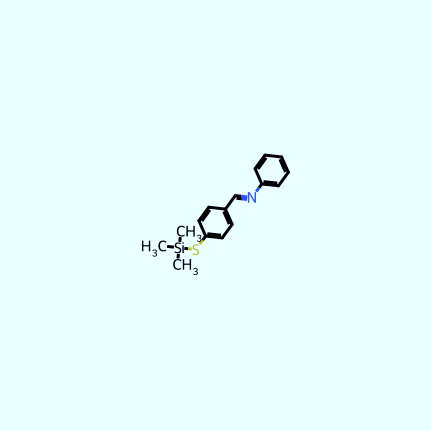 C[Si](C)(C)Sc1ccc(C=Nc2ccccc2)cc1